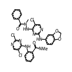 CN(Nc1nc(Nc2ccc3c(c2)OCO3)ncc1Cl)C(=O)c1ccccc1.CNC(=O)c1ccccc1Nc1nc(Cl)ncc1Cl